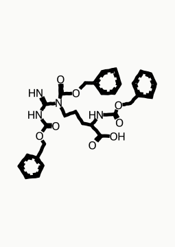 N=C(NC(=O)OCc1ccccc1)N(CCCC(NC(=O)OCc1ccccc1)C(=O)O)C(=O)OCc1ccccc1